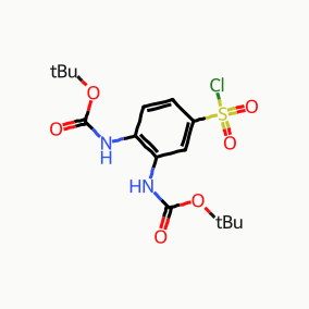 CC(C)(C)OC(=O)Nc1ccc(S(=O)(=O)Cl)cc1NC(=O)OC(C)(C)C